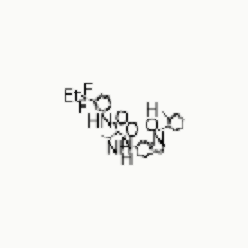 CCC(F)(F)c1cccc(NC(=O)C(C(C)=N)C(=O)Nc2ccc3ccn(C(O)c4ccccc4C)c3c2)c1